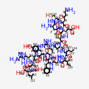 CC[C@H](C)[C@H](N)C(=O)N[C@@H](CS)C(=O)N[C@@H](CCCCN)C(=O)N[C@@H](CCC(=O)O)C(=O)N[C@@H](CS)C(=O)N1CCC[C@H]1C(=O)N[C@H](C(=O)N[C@H](C(=O)NCC(=O)N[C@@H](Cc1ccccc1)C(=O)N[C@@H](CCCNC(=N)N)C(=O)N[C@@H](Cc1ccc(O)cc1)C(=O)N[C@@H](CCCNC(=N)N)C(=O)N[C@@H](CO)C(=O)N[C@@H](CC(C)C)C(=O)O)[C@@H](C)CC)[C@@H](C)CC